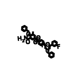 Cc1cc(S(=O)(=O)c2ccc(CCN(Cc3ccccc3)C[C@H](O)c3cccc(F)c3)cc2)cc(C(N)=O)c1OCc1ccccc1